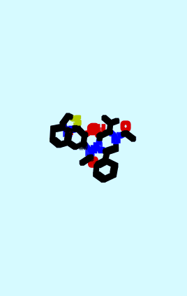 CC(=O)N1C=C(c2ccccc2)N(N(C(C)=O)[C@@H](Cc2ccccc2)C(O)C2=NCCS2)C(=O)C1C(C)C